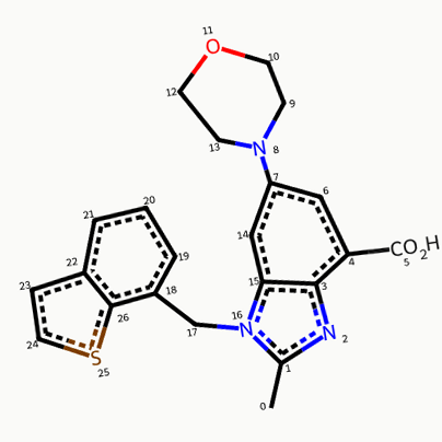 Cc1nc2c(C(=O)O)cc(N3CCOCC3)cc2n1Cc1cccc2ccsc12